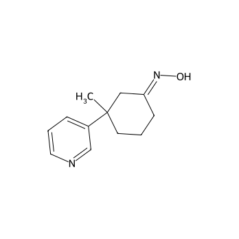 CC1(c2cccnc2)CCC/C(=N\O)C1